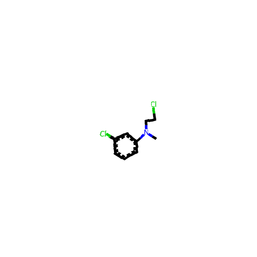 CN(CCCl)c1cccc(Cl)c1